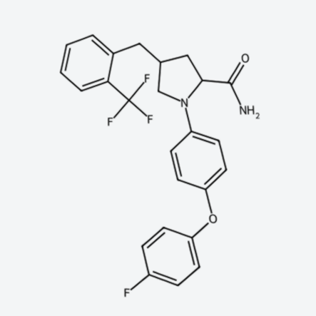 NC(=O)C1CC(Cc2ccccc2C(F)(F)F)CN1c1ccc(Oc2ccc(F)cc2)cc1